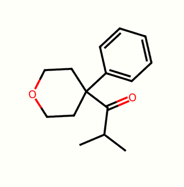 CC(C)C(=O)C1(c2ccccc2)CCOCC1